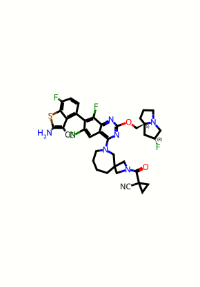 N#Cc1c(N)sc2c(F)ccc(-c3c(Cl)cc4c(N5CCCCC6(CN(C(=O)C7(C#N)CC7)C6)C5)nc(OC[C@@]56CCCN5C[C@H](F)C6)nc4c3F)c12